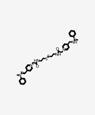 CN(/N=C/c1cc[n+](CC(=O)NCCSSCCNC(=O)C[n+]2ccc(CNN(C)c3ccccc3)cc2)cc1)c1ccccc1